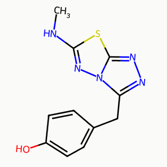 CNc1nn2c(Cc3ccc(O)cc3)nnc2s1